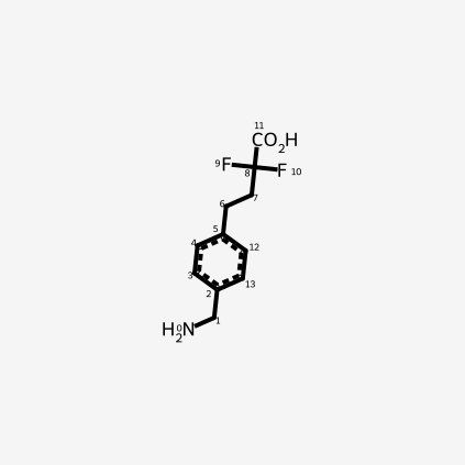 NCc1ccc(CCC(F)(F)C(=O)O)cc1